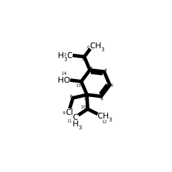 CC(C)C1=CC=CC(CCl)(C(C)C)C1O